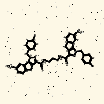 Cc1ccc(Cn2nc(C(=O)NCCCNC(=O)c3nn(Cc4ccc(C)cc4)c4c3Cc3ccc(S(=O)(=O)O)cc3-4)c3c2-c2cc(S(=O)(=O)O)ccc2C3)cc1